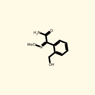 CON=C(C(N)=O)c1ccccc1CO